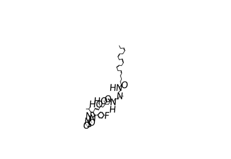 CC/C=C\C/C=C\C/C=C\C/C=C\C/C=C\CCCC(=O)NCCN(C)CCNC(=O)C[C@H](O)C[C@H](O)/C=C/c1c(-c2ccc(F)cc2)nc(N(C)S(C)(=O)=O)nc1C(C)C